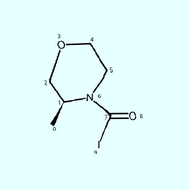 C[C@H]1COCCN1C(=O)I